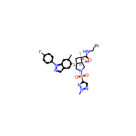 Cc1cc2c(cnn2-c2ccc(F)cc2)cc1[C@@]12CN(S(=O)(=O)c3cnn(C)n3)C[C@@H]1[C@](C)(C(=O)NCC(C)C)C2